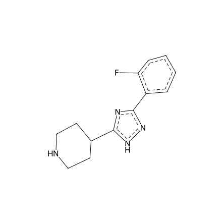 Fc1ccccc1-c1n[nH]c(C2CCNCC2)n1